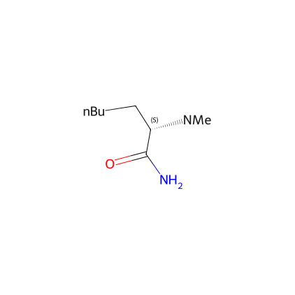 CCCCC[C@H](NC)C(N)=O